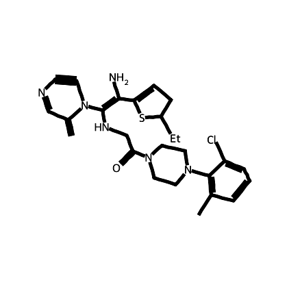 C=C1C=NC#CN1/C(NCC(=O)N1CCN(c2c(C)cccc2Cl)CC1)=C(\N)C1=CCC(CC)S1